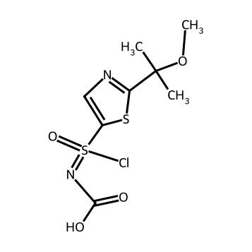 COC(C)(C)c1ncc(S(=O)(Cl)=NC(=O)O)s1